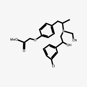 COC(=O)COc1ccc(CC(C)N(CC#N)CC(O)c2cccc(Cl)c2)cc1